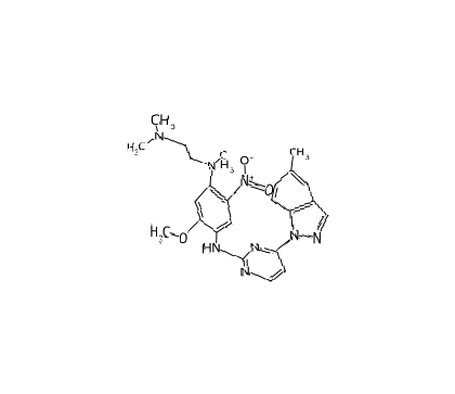 COc1cc(N(C)CCN(C)C)c([N+](=O)[O-])cc1Nc1nccc(-n2ncc3cc(C)ccc32)n1